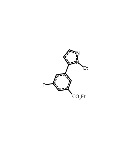 CCOC(=O)c1cc(F)cc(-c2ccnn2CC)c1